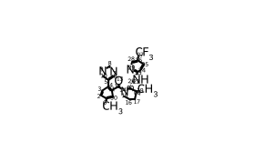 Cc1ccc(-c2cncnc2)c(C(=O)N2CCC[C@@H](C)[C@H]2CNc2ccc(C(F)(F)F)cn2)c1